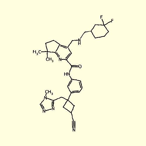 Cn1cnnc1CC1(c2cccc(NC(=O)c3cc(CNCC4CCCC(F)(F)C4)c4c(n3)C(C)(C)CC4)c2)CC(C#N)C1